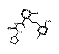 COc1ccc(Br)cc1CCc1c(F)cccc1C(=O)NC(=N)NC1CCCC1